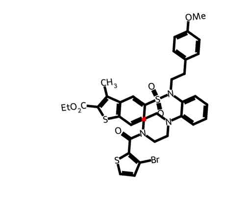 CCOC(=O)c1sc2ccc(S(=O)(=O)N(CCc3ccc(OC)cc3)c3ccccc3N3CCN(C(=O)c4sccc4Br)CC3)cc2c1C